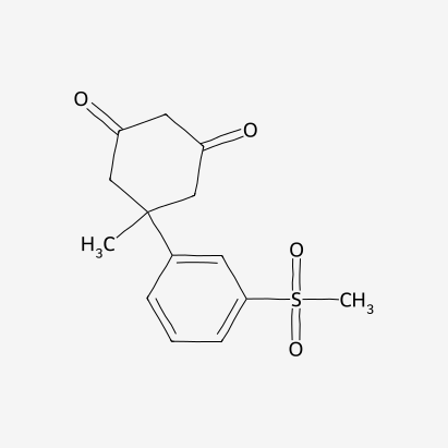 CC1(c2cccc(S(C)(=O)=O)c2)CC(=O)CC(=O)C1